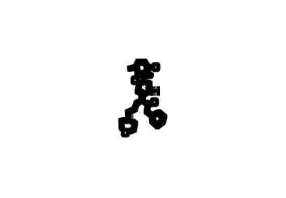 CC1C=CC(=O)C(C)(N2CC=C(N(CCCN3CCOCC3)C(=O)Cc3ccccc3)NC2)C1=O